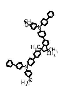 COc1ccc(N(c2ccc(-c3ccccc3)cc2)c2ccc(-c3ccc(C4(C)CC(C)(C)c5ccc(-c6ccc(N(c7ccc(OC)cc7)c7ccc(-c8ccccc8)cc7)cc6)cc54)cc3)cc2)cc1